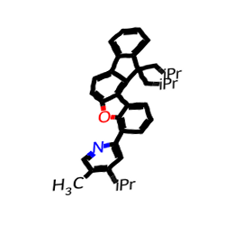 Cc1cnc(-c2cccc3c2oc2ccc4c(c23)C(CC(C)C)(CC(C)C)c2ccccc2-4)cc1C(C)C